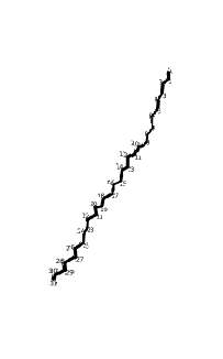 [CH]=CC=CC=CCCCCCCCCCCCCCCCCCCCCCCCCCC